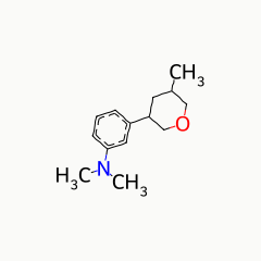 CC1COCC(c2cccc(N(C)C)c2)C1